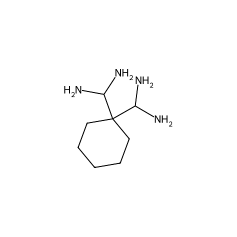 NC(N)C1(C(N)N)CCCCC1